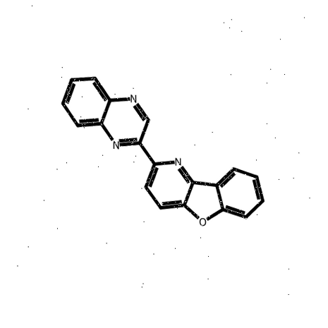 c1ccc2nc(-c3ccc4oc5ccccc5c4n3)cnc2c1